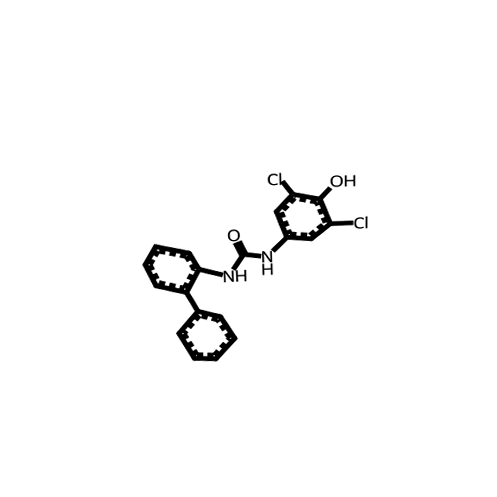 O=C(Nc1cc(Cl)c(O)c(Cl)c1)Nc1ccccc1-c1ccccc1